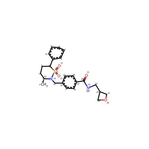 C[C@H]1CCC(c2ccccc2)S(=O)(=O)N1Cc1ccc(C(=O)NCC2COC2)cc1